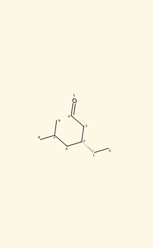 CC[C@@H](CC=O)CC(C)C